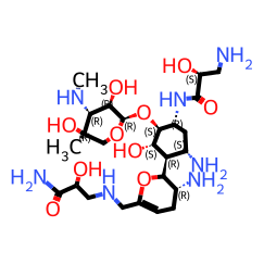 CN[C@@H]1[C@@H](O)[C@@H](O[C@@H]2[C@@H](O)[C@H](C3OC(CNCC(O)C(N)=O)=CC[C@H]3N)[C@@H](N)C[C@H]2NC(=O)[C@@H](O)CN)OC[C@]1(C)O